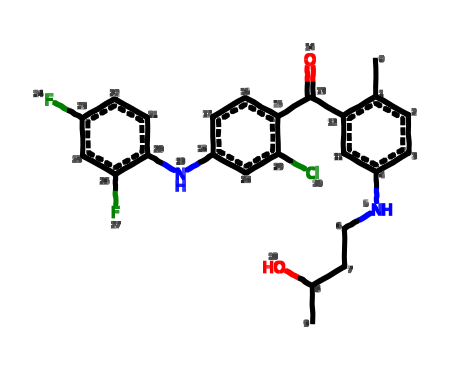 Cc1ccc(NCCC(C)O)cc1C(=O)c1ccc(Nc2ccc(F)cc2F)cc1Cl